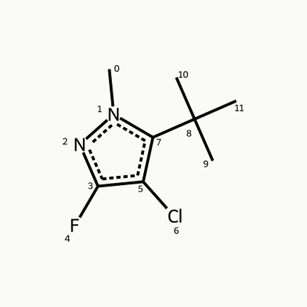 Cn1nc(F)c(Cl)c1C(C)(C)C